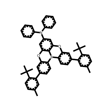 Cc1ccc(C(C)(C)C)c(-c2ccc3c(c2)Oc2cc(N(c4ccccc4)c4ccccc4)cc4c2B3c2ccc(-c3cc(C)ccc3C(C)(C)C)cc2O4)c1